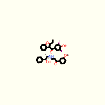 CCc1oc2ccccc2c1C(=O)c1cc(I)c(O)c(I)c1.COc1cccc(C(=O)CCN[C@@H](C)[C@H](O)c2ccccc2)c1